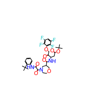 CC(C)(C)OC(=O)CC(NC(=O)C1COCCN(C(=O)C(=O)Nc2ccccc2C(C)(C)C)C1)C(=O)COc1c(F)c(F)cc(F)c1F